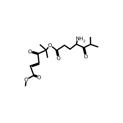 COC(=O)/C=C/C(=O)C(C)(C)OC(=O)CCC(N)C(=O)C(C)C